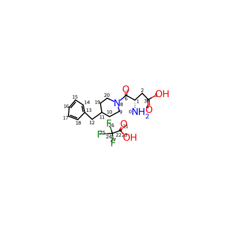 N[C@@H](CC(=O)O)C(=O)N1CCC(Cc2ccccc2)CC1.O=C(O)C(F)(F)F